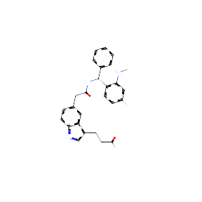 CNc1cc(C)ccc1C(NC(=O)Cc1ccc2[nH]cc(CCC(=O)O)c2c1)c1ccccc1